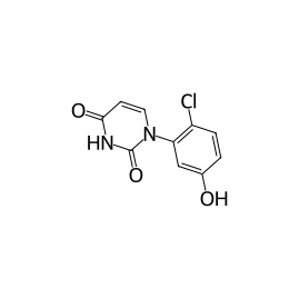 O=c1ccn(-c2cc(O)ccc2Cl)c(=O)[nH]1